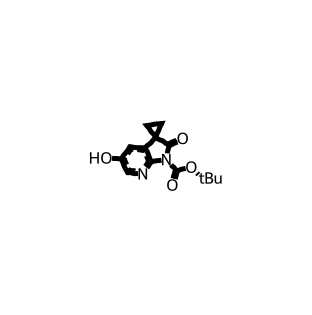 CC(C)(C)OC(=O)N1C(=O)C2(CC2)c2cc(O)cnc21